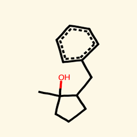 CC1(O)CCCC1Cc1ccccc1